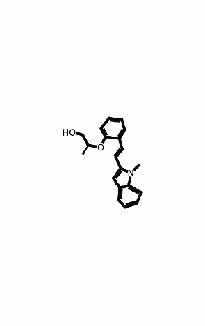 C[C@@H](CO)Oc1ccccc1/C=C/c1cc2ccccc2n1C